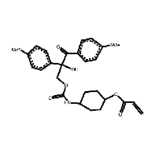 C=CC(=O)OC1CCC(NC(=O)OCC(O)(C(=O)c2ccc(SC)cc2)c2ccc(SC)cc2)CC1